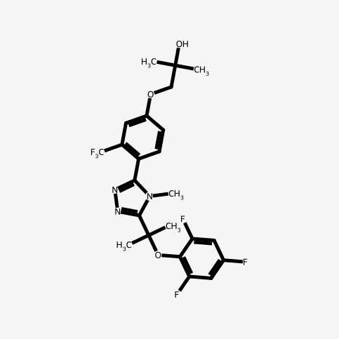 Cn1c(-c2ccc(OCC(C)(C)O)cc2C(F)(F)F)nnc1C(C)(C)Oc1c(F)cc(F)cc1F